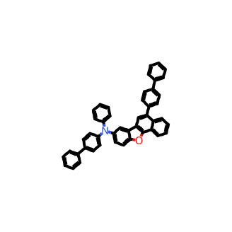 c1ccc(-c2ccc(-c3cc4c5cc(N(c6ccccc6)c6ccc(-c7ccccc7)cc6)ccc5oc4c4ccccc34)cc2)cc1